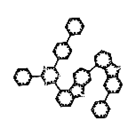 c1ccc(-c2ccc(-c3nc(-c4ccccc4)nc(-c4cccc5oc6cc(-c7cccc8sc9ccc(-c%10ccccc%10)cc9c78)ccc6c45)n3)cc2)cc1